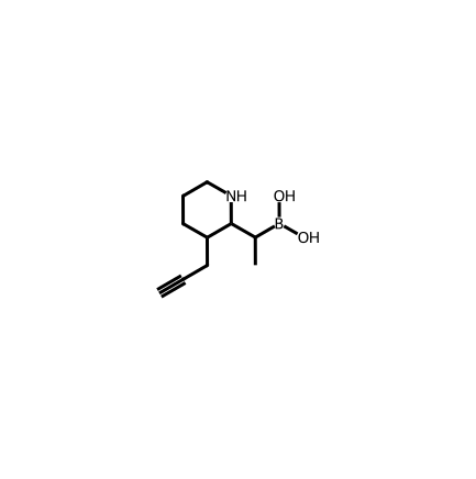 C#CCC1CCCNC1C(C)B(O)O